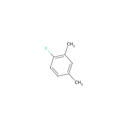 Cc1[c]cc(F)c(C)c1